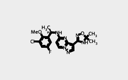 COc1c(Cl)cc(F)cc1[C@@H](C)Nc1ccn2ncc(C3=NOC(C)(C)N3)c2n1